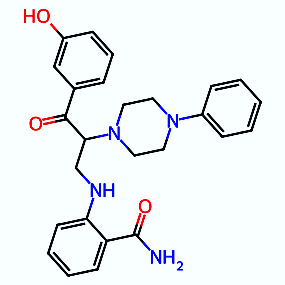 NC(=O)c1ccccc1NCC(C(=O)c1cccc(O)c1)N1CCN(c2ccccc2)CC1